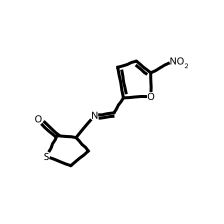 O=C1SCCC1N=Cc1ccc([N+](=O)[O-])o1